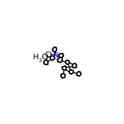 CC1(C)c2ccccc2-c2ccc(N(c3ccccc3)c3cccc4c(-c5ccc6c(c5)C5(c7ccccc7-6)c6cc(-c7ccccc7)ccc6-c6c(-c7ccccc7)cccc65)cccc34)cc21